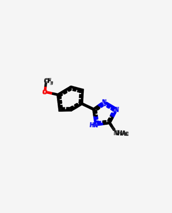 CC(=O)Nc1nnc(-c2ccc(OC(F)(F)F)cc2)[nH]1